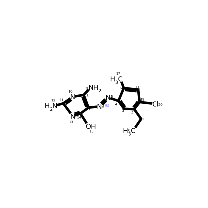 CCc1cc(/N=N/c2c(N)nc(N)nc2O)c(C)cc1Cl